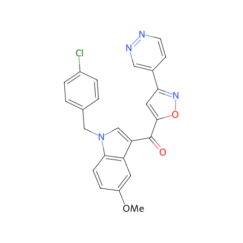 COc1ccc2c(c1)c(C(=O)c1cc(-c3ccnnc3)no1)cn2Cc1ccc(Cl)cc1